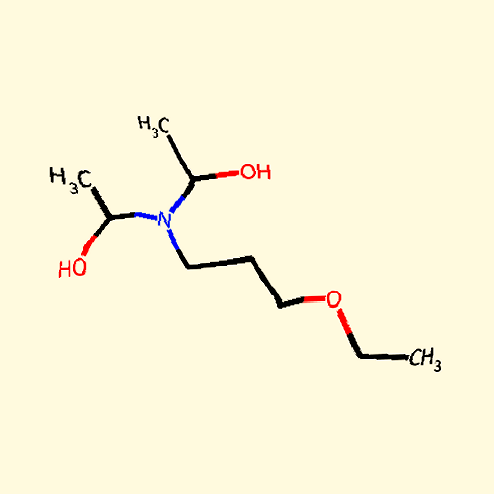 CCOCCCN(C(C)O)C(C)O